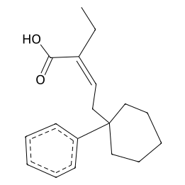 CCC(=CCC1(c2ccccc2)CCCCC1)C(=O)O